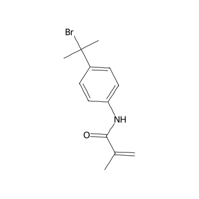 C=C(C)C(=O)Nc1ccc(C(C)(C)Br)cc1